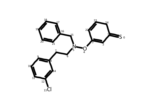 S=C1C=C(ON(CCc2cccc(Cl)c2)Cc2ccccc2)C=CC1